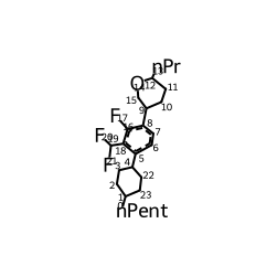 CCCCCC1CCC(c2ccc(C3CCC(CCC)OC3)c(F)c2C(F)F)CC1